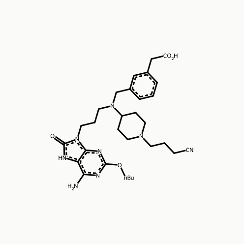 CCCCOc1nc(N)c2[nH]c(=O)n(CCCN(Cc3cccc(CC(=O)O)c3)C3CCN(CCCC#N)CC3)c2n1